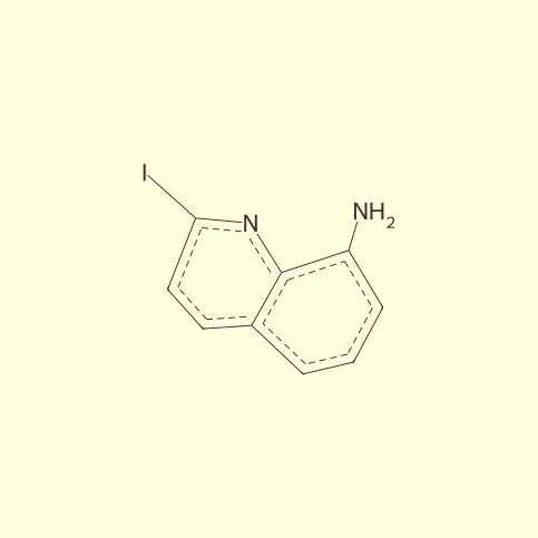 Nc1cccc2ccc(I)nc12